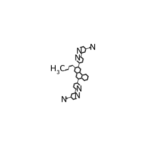 C/C=C\C=C/c1cc2cc(-c3ccc(-c4cc(C#N)ccn4)nc3)c3ccccc3c2cc1-c1ccc(-c2cc(C#N)ccn2)nc1